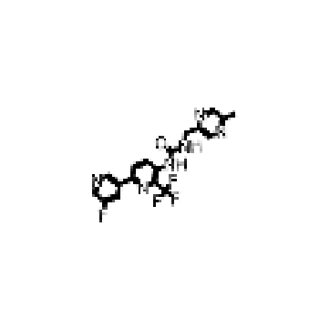 Cc1cnc(CNC(=O)Nc2ccc(-c3cncc(F)c3)nc2C(F)(F)F)cn1